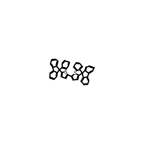 c1ccc(C2(c3ccc(-c4ccc(C5(c6ccccc6)c6ccccc6-c6ccccc65)s4)s3)c3ccccc3-c3ccccc32)cc1